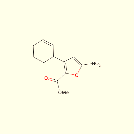 COC(=O)c1oc([N+](=O)[O-])cc1C1C=CCCC1